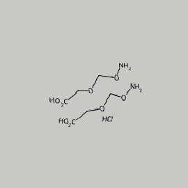 Cl.NOCOCC(=O)O.NOCOCC(=O)O